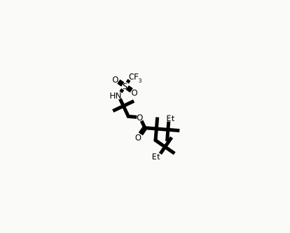 CCC(C)(C)CC(C)(C(=O)OCC(C)(C)NS(=O)(=O)C(F)(F)F)C(C)(C)CC